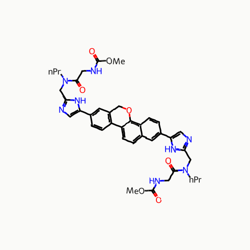 CCCN(Cc1ncc(-c2ccc3c(c2)COc2c-3ccc3cc(-c4cnc(CN(CCC)C(=O)CNC(=O)OC)[nH]4)ccc23)[nH]1)C(=O)CNC(=O)OC